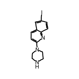 Ic1ccc2nc(N3CCNCC3)ccc2c1